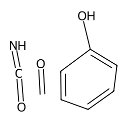 C=O.N=C=O.Oc1ccccc1